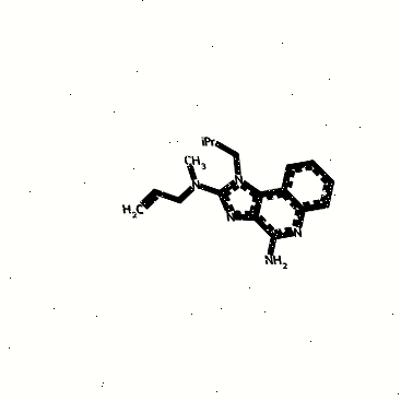 C=CCN(C)c1nc2c(N)nc3ccccc3c2n1CC(C)C